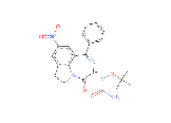 CC(C)(C)ON(C(N)=O)[C@H]1N=C(c2ccccc2)c2cc([N+](=O)[O-])cc3c2N(CC3)C1=O